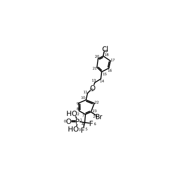 O=P(O)(O)C(F)(F)c1ccc(COCCc2ccc(Cl)cc2)cc1Br